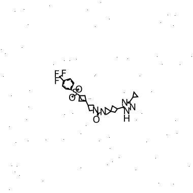 O=C(N1CC(C23CC(S(=O)(=O)c4ccc(C(F)(F)F)cc4)(C2)C3)C1)N1CC2(CC(c3nc(C4CC4)n[nH]3)C2)C1